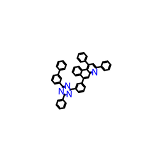 c1ccc(-c2cccc(-c3nc(-c4ccccc4)nc(-c4cccc(-c5cc6nc(-c7ccccc7)cc(-c7ccccc7)c6c6ccccc56)c4)n3)c2)cc1